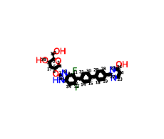 OC[C@H]1OC[C@H](Oc2nc3c(F)c(-c4ccc(-c5ccc(-c6nccc(O)n6)cc5)cc4)c(F)cc3[nH]2)C[C@@H]1O